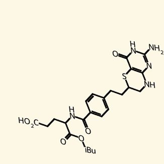 CCC(C)OC(=O)C(CCC(=O)O)NC(=O)c1ccc(CCC2CNc3nc(N)[nH]c(=O)c3S2)cc1